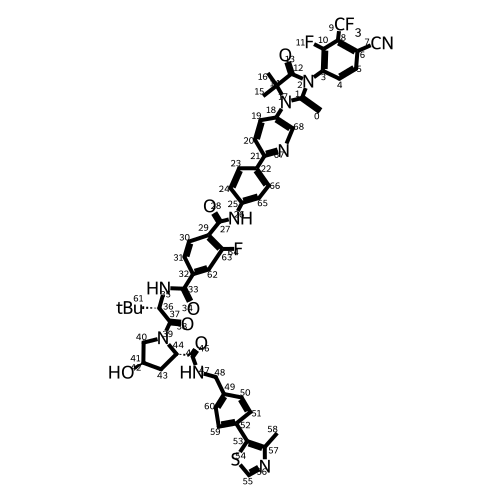 C=C1N(c2ccc(C#N)c(C(F)(F)F)c2F)C(=O)C(C)(C)N1c1ccc(-c2ccc(NC(=O)c3ccc(C(=O)N[C@H](C(=O)N4C[C@H](O)C[C@H]4C(=O)NCc4ccc(-c5scnc5C)cc4)C(C)(C)C)cc3F)cc2)nc1